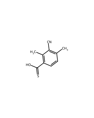 Cc1ccc(C(O)=S)c(C)c1C#N